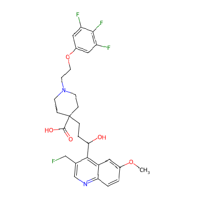 COc1ccc2ncc(CF)c(C(O)CCC3(C(=O)O)CCN(CCOc4cc(F)c(F)c(F)c4)CC3)c2c1